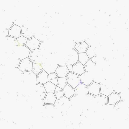 CC1(C)c2ccccc2-c2ccc(N(c3ccc(-c4ccccc4)cc3)c3cccc4c3-c3ccccc3C43c4ccccc4-c4cc5c(cc43)sc3c(-c4cccc6c4sc4ccccc46)cccc35)cc21